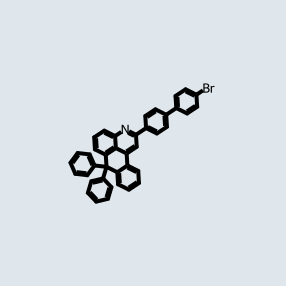 Brc1ccc(-c2ccc(-c3cc4c5c(cccc5n3)C(c3ccccc3)(c3ccccc3)c3ccccc3-4)cc2)cc1